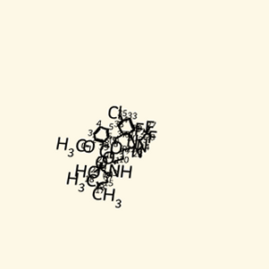 COc1cccc([C@H]2O[C@H](CC(=O)N[C@@H](CC(C)C)C(=O)O)c3nnc(C(F)(F)F)n3-c3ccc(Cl)cc32)c1Cl